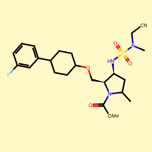 COC(=O)N1C(C)C[C@H](NS(=O)(=O)N(C)CC#N)[C@@H]1COC1CCC(c2cccc(F)c2)CC1